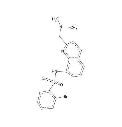 CN(C)Cc1ccc2cccc(NS(=O)(=O)c3ccccc3Br)c2n1